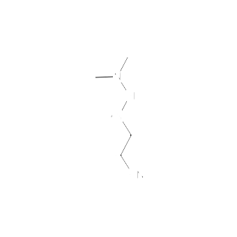 CN(C)PSCCC#N